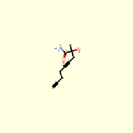 C#CCCC#CCC(C)(Br)C(N)=O